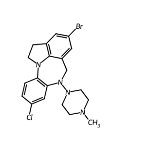 CN1CCN(N2Cc3cc(Br)cc4c3N(CC4)c3ccc(Cl)cc32)CC1